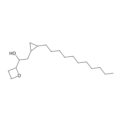 CCCCCCCCCCCC1CC1CC(O)C1C[CH]O1